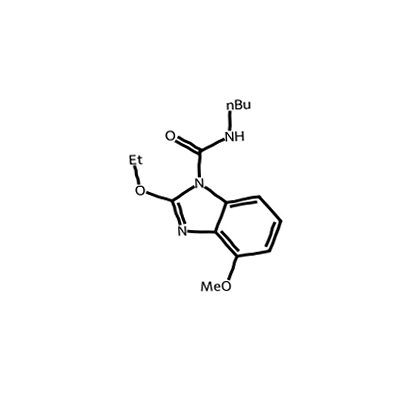 CCCCNC(=O)n1c(OCC)nc2c(OC)cccc21